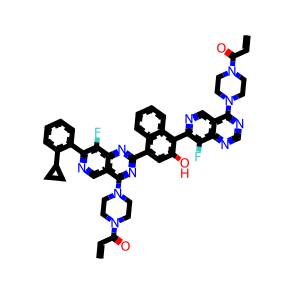 C=CC(=O)N1CCN(c2nc(-c3cc(O)c(-c4ncc5c(N6CCN(C(=O)C=C)CC6)ncnc5c4F)c4ccccc34)nc3c(F)c(-c4ccccc4C4CC4)ncc23)CC1